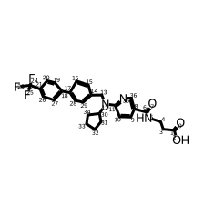 O=C(O)CCNC(=O)c1ccc(N(Cc2ccc(-c3ccc(C(F)(F)F)cc3)cc2)C2CCCC2)nc1